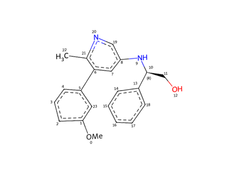 COc1cccc(-c2cc(N[C@@H](CO)c3ccccc3)cnc2C)c1